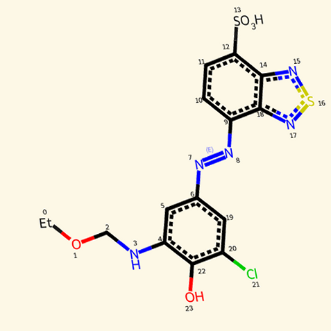 CCOCNc1cc(/N=N/c2ccc(S(=O)(=O)O)c3nsnc23)cc(Cl)c1O